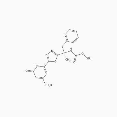 CC(C)(C)OC(=O)N[C@](C)(Cc1ccccc1)c1nnc(-c2cc(C(=O)O)cc(=O)[nH]2)o1